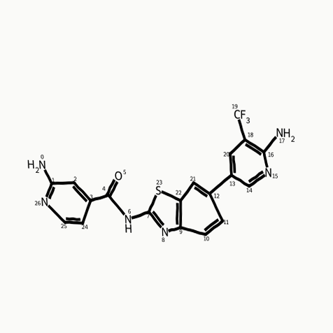 Nc1cc(C(=O)Nc2nc3ccc(-c4cnc(N)c(C(F)(F)F)c4)cc3s2)ccn1